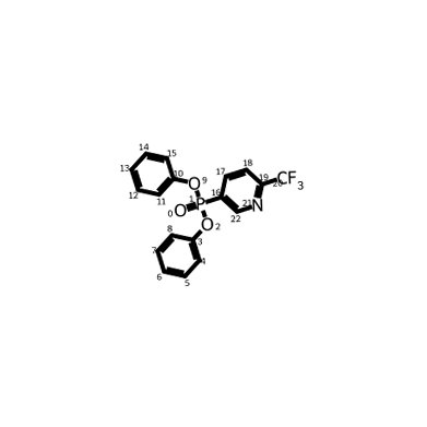 O=P(Oc1ccccc1)(Oc1ccccc1)c1ccc(C(F)(F)F)nc1